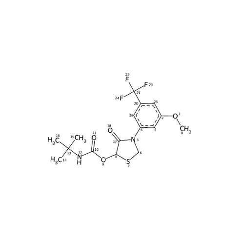 COc1cc(N2CSC(OC(=O)NC(C)(C)C)C2=O)cc(C(F)(F)F)c1